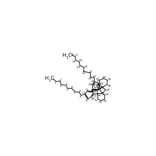 CCCCCCCCCCc1ccc(C2(c3ccc(CCCCCCCCCC)cc3)CCCCC23CC2(CCCCC2)C3(Cl)Cl)cc1